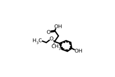 CCO[C@@](C)(CC(=O)O)c1ccc(O)cc1